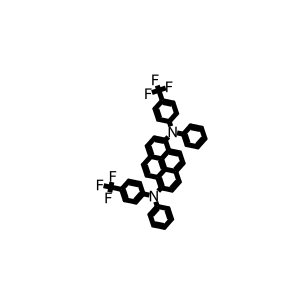 FC(F)(F)C1=CCC(N(c2ccccc2)c2ccc3ccc4c(N(c5ccccc5)c5ccc(C(F)(F)F)cc5)ccc5ccc2c3c54)C=C1